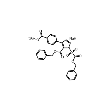 CC(C)(C)OC(=O)c1ccc(-c2ccn(S(=O)(=O)C(=O)OCc3ccccc3)c2C(=O)OCc2ccccc2)cc1.[NaH]